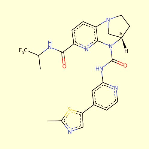 Cc1ncc(-c2ccnc(NC(=O)N3c4nc(C(=O)NC(C)C(F)(F)F)ccc4N4CC[C@H]3C4)c2)s1